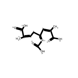 CC(=CCC(C=C(C)C(=O)O)=NC(=O)O)C(=O)O